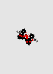 Cc1cccc2op(Oc3cc4ccccc4cc3-c3cc4ccccc4cc3Op3oc4cccc(C)c4c4c(C)cccc4o3)oc3cccc(C)c3c12